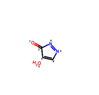 O.O=C1C=CN=N1